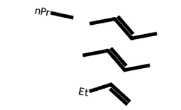 C/C=C/C.C/C=C/C.C=CCC.CCCC